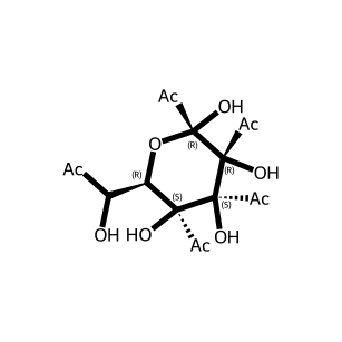 CC(=O)C(O)[C@H]1O[C@@](O)(C(C)=O)[C@@](O)(C(C)=O)[C@](O)(C(C)=O)[C@]1(O)C(C)=O